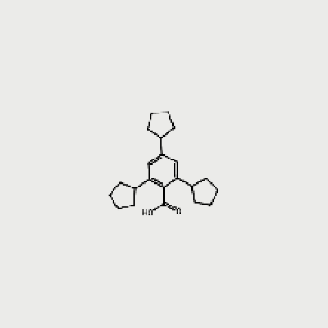 O=C(O)c1c(C2CCCC2)cc(C2CCCC2)cc1C1CCCC1